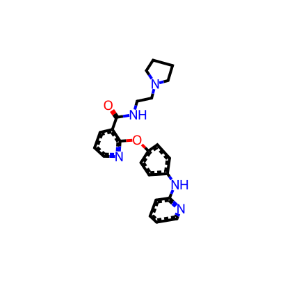 O=C(NCCN1CCCC1)c1cccnc1Oc1ccc(Nc2ccccn2)cc1